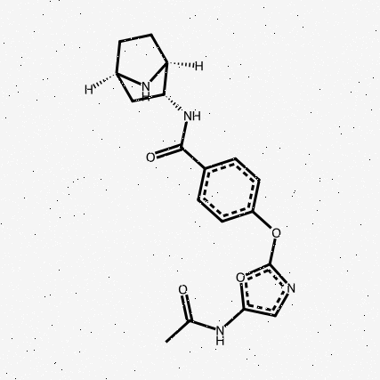 CC(=O)Nc1cnc(Oc2ccc(C(=O)N[C@@H]3C[C@H]4CC[C@@H]3N4)cc2)o1